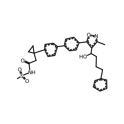 Cc1noc(-c2ccc(-c3ccc(C4(CC(=O)NS(C)(=O)=O)CC4)cc3)cc2)c1C(O)CCCc1ccccc1